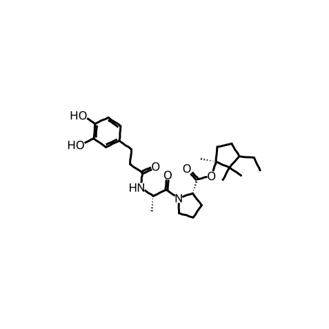 CCC1CC[C@](C)(OC(=O)[C@@H]2CCCN2C(=O)[C@H](C)NC(=O)CCc2ccc(O)c(O)c2)C1(C)C